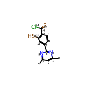 Cc1cc(C)nc(-c2ccc(C(=S)Cl)c(S)c2)n1